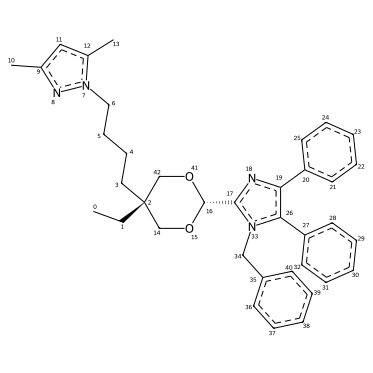 CC[C@]1(CCCCn2nc(C)cc2C)CO[C@@H](c2nc(-c3ccccc3)c(-c3ccccc3)n2Cc2ccccc2)OC1